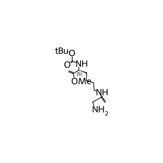 C=C(CN)NCCCC[C@H](NC(=O)OC(C)(C)C)C(=C)OC